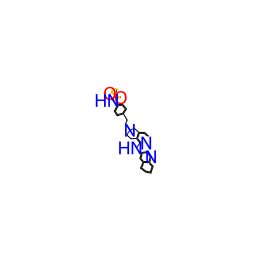 CS(=O)(=O)Nc1ccc(CCN2CCc3c(ccnc3Nc3cnc4ccccc4c3)C2)cc1